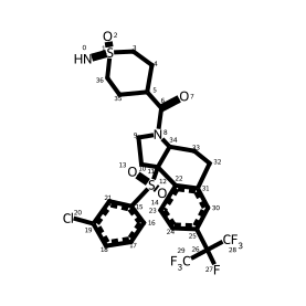 N=S1(=O)CCC(C(=O)N2CCC3(S(=O)(=O)c4cccc(Cl)c4)c4ccc(C(F)(C(F)(F)F)C(F)(F)F)cc4CCC23)CC1